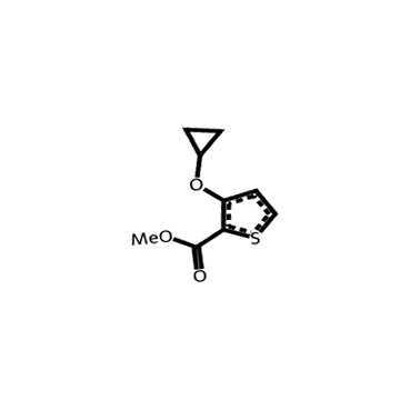 COC(=O)c1sccc1OC1CC1